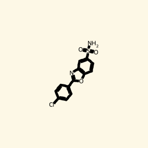 NS(=O)(=O)c1ccc2oc(-c3ccc(Cl)cc3)nc2c1